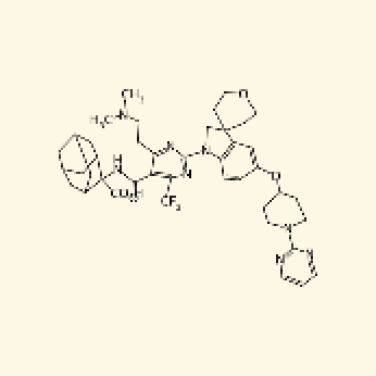 CN(C)CCc1nc(N2CC3(CCOCC3)c3cc(OC4CCN(c5ncccn5)CC4)ccc32)nc(C(F)(F)F)c1C(=O)NC1(C(=O)O)C2CC3CC(C2)CC1C3